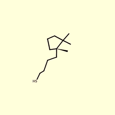 CC1(C)CCC[C@@]1(C)CCCCS